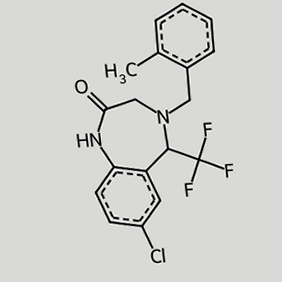 Cc1ccccc1CN1CC(=O)Nc2ccc(Cl)cc2C1C(F)(F)F